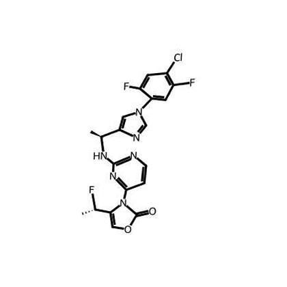 C[C@H](F)c1coc(=O)n1-c1ccnc(N[C@@H](C)c2cn(-c3cc(F)c(Cl)cc3F)cn2)n1